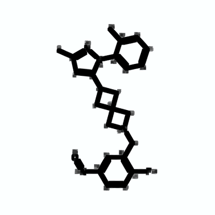 Cc1cc(C2CC3(C2)CN(Cc2cc(N=O)ccc2F)C3)n(-c2ccccc2C)n1